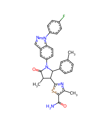 Cc1cccc(C2C(c3nc(C)c(C(N)=O)s3)C(C)C(=O)N2c2ccc3c(cnn3-c3ccc(F)cc3)c2)c1